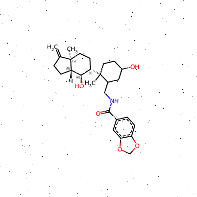 C=C1CC[C@H]2[C@H](O)[C@@H](C3(C)CCC(O)CC3CNC(=O)c3ccc4c(c3)OCO4)CC[C@]12C